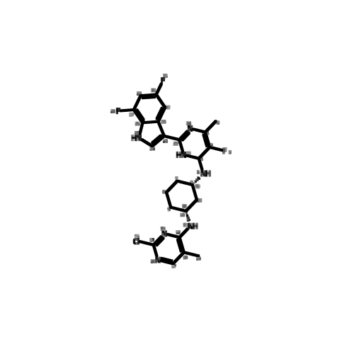 CC1=C(F)C(N[C@H]2CCC[C@@H](Nc3nc(Cl)ncc3C)C2)NC(c2c[nH]c3c(F)cc(F)cc23)=N1